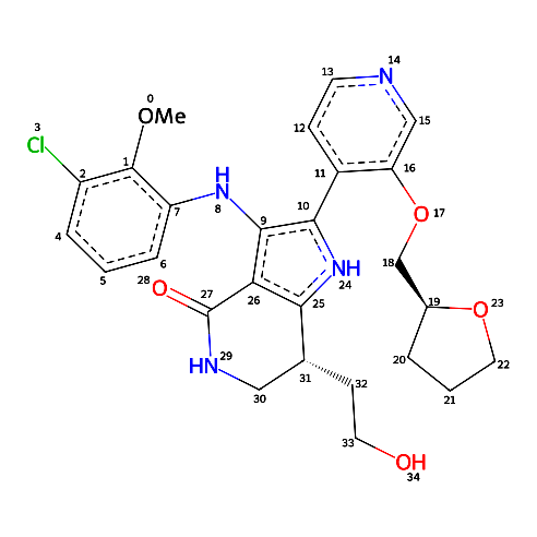 COc1c(Cl)cccc1Nc1c(-c2ccncc2OC[C@@H]2CCCO2)[nH]c2c1C(=O)NC[C@H]2CCO